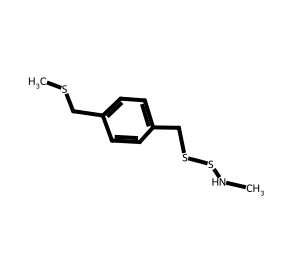 CNSSCc1ccc(CSC)cc1